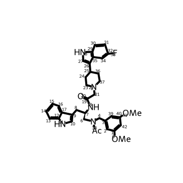 COc1cc(CN(C[C@@H](Cc2c[nH]c3ccccc23)NC(=O)CN2CCC(c3c[nH]c4ccc(F)cc34)CC2)C(C)=O)cc(OC)c1